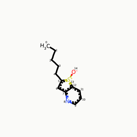 CCCCCc1cc2ncccc2[s+]1[O-]